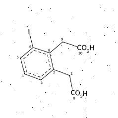 O=C(O)Cc1cccc(I)c1CC(=O)O